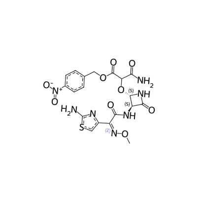 CO/N=C(\C(=O)N[C@@H]1C(=O)N[C@H]1OC(C(N)=O)C(=O)OCc1ccc([N+](=O)[O-])cc1)c1csc(N)n1